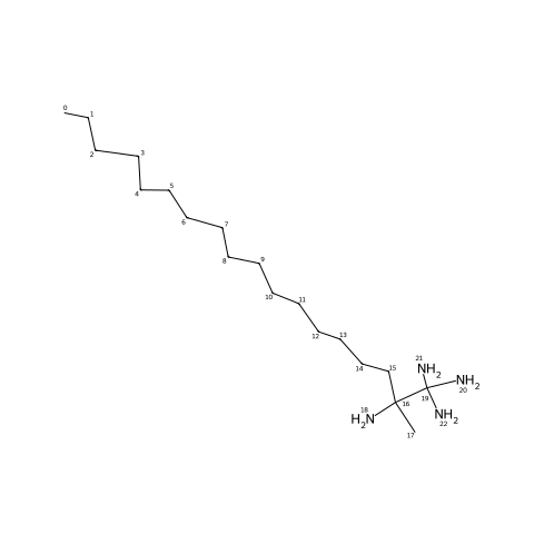 CCCCCCCCCCCCCCCCC(C)(N)C(N)(N)N